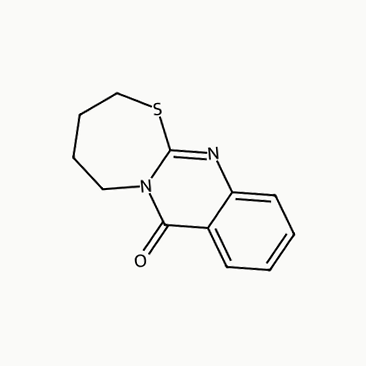 O=c1c2ccccc2nc2n1CCCCS2